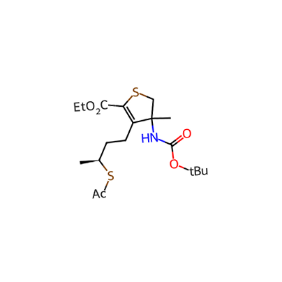 CCOC(=O)C1=C(CC[C@H](C)SC(C)=O)C(C)(NC(=O)OC(C)(C)C)CS1